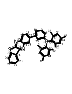 Cc1cc(C)c(B(c2cccc(-c3ccc4nc5sc6ccccc6c5nc4c3)c2)c2c(C)cc(C)cc2C)c(C)c1